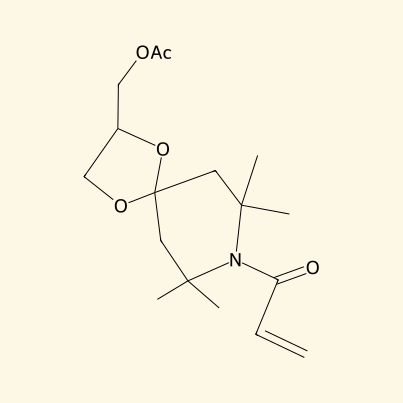 C=CC(=O)N1C(C)(C)CC2(CC1(C)C)OCC(COC(C)=O)O2